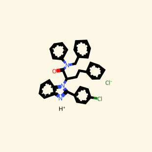 O=C(C(CCc1ccccc1)n1c(-c2ccc(Cl)cc2)nc2ccccc21)N(Cc1ccccc1)c1ccccc1.[Cl-].[H+]